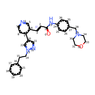 O=C(/C=C/c1cnccc1-c1cnn(CCc2ccccc2)c1)Nc1ccc(CN2CCOCC2)cc1